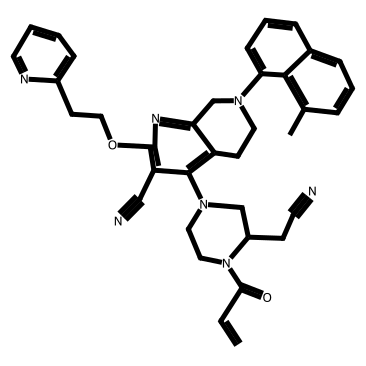 C=CC(=O)N1CCN(c2c(C#N)c(OCCc3ccccn3)nc3c2CCN(c2cccc4cccc(C)c24)C3)CC1CC#N